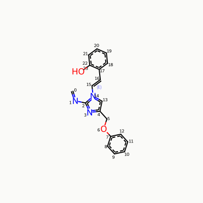 C=Nc1nc(COc2ccccc2)cn1/C=C/c1ccccc1O